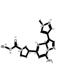 Cn1cc(-c2cnn3c(N)cc(C4CCN(C(=O)OC(C)(C)C)C4)nc23)cn1